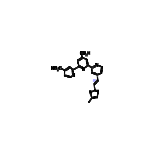 Cc1ccc(/C=C/c2ccnc(-c3cc(C(=O)O)cc(-c4cc(C(=O)O)ccn4)n3)c2)s1